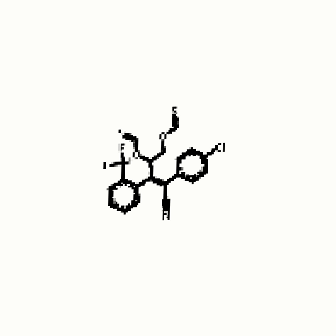 N#CC(=C(c1ccccc1C(F)(F)F)C(COC=S)OC=S)c1ccc(Cl)cc1